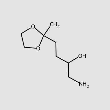 CC1(CCC(O)CN)OCCO1